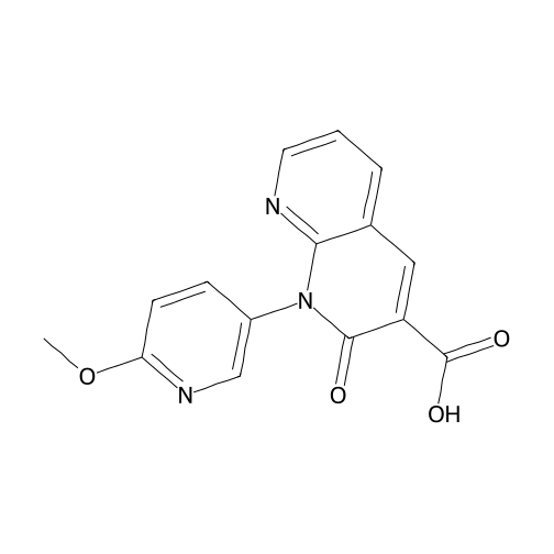 COc1ccc(-n2c(=O)c(C(=O)O)cc3cccnc32)cn1